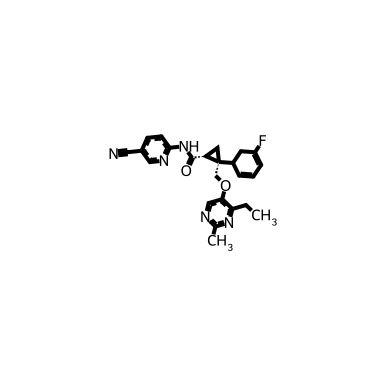 CCc1nc(C)ncc1OC[C@@]1(C2C=CC=C(F)C2)C[C@H]1C(=O)Nc1ccc(C#N)cn1